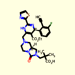 C#Cc1c(F)cccc1[C@@H]1N=C(c2nccs2)NC(CN2CCN3C(=O)N(CC(C)(C)C(=O)O)C[C@@H]3C2)=C1C(=O)OCC